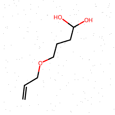 C=CCOCCC[C](O)O